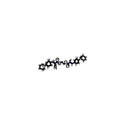 C/C(=C\c1ccc(N2CCCCC2)cc1)C(=O)OCCOC(=O)/C(C#N)=C/c1ccc(N2CCCCC2)cc1